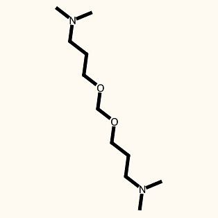 CN(C)CCCOCOCCCN(C)C